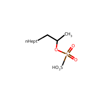 CCCCCCCCC(C)OS(=O)(=O)S(=O)(=O)O